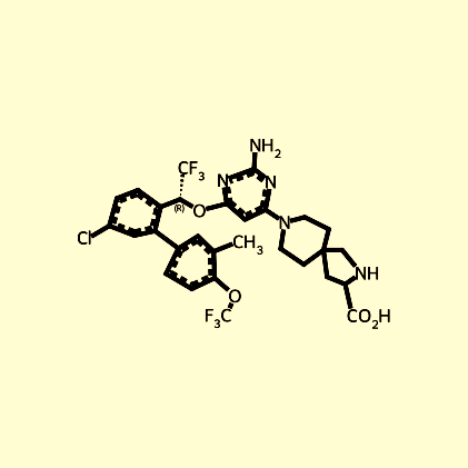 Cc1cc(-c2cc(Cl)ccc2[C@@H](Oc2cc(N3CCC4(CC3)CNC(C(=O)O)C4)nc(N)n2)C(F)(F)F)ccc1OC(F)(F)F